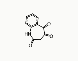 O=C1CC(=O)C(=O)c2ccccc2N1